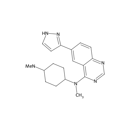 CNC1CCC(N(C)c2ncnc3ccc(-c4cc[nH]n4)cc23)CC1